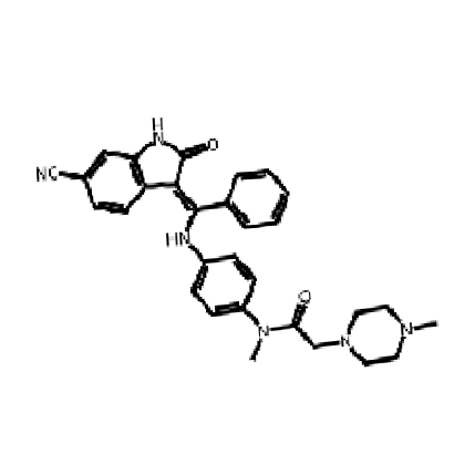 CN1CCN(CC(=O)N(C)c2ccc(NC(=C3C(=O)Nc4cc(C#N)ccc43)c3ccccc3)cc2)CC1